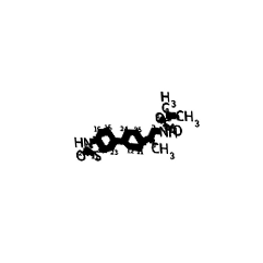 CC(CNS(=O)(=O)C(C)C)c1ccc(-c2ccc3[nH]c(=O)sc3c2)cc1